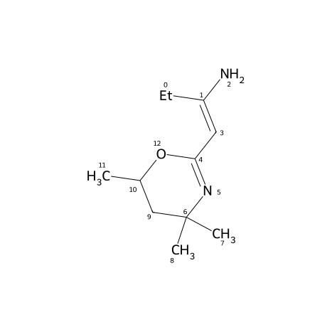 CC/C(N)=C\C1=NC(C)(C)CC(C)O1